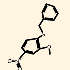 COc1cc([N+](=O)[O-])ccc1SCc1ccccc1